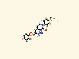 Cc1ccc(N2CCc3cc(COc4ccccc4)cnc3C2=O)cc1